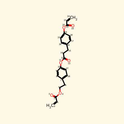 C=CC(=O)OCCc1ccc(OC(=O)CCc2ccc(OC(=O)C=C)cc2)cc1